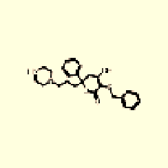 O=C1OC(CCCN2CCNCC2)(c2ccccc2)CC(O)=C1SCc1ccccc1